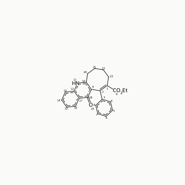 CCOC(=O)C1=C(c2ccccc2)c2c([nH]c3ccccc3c2=O)CCCC1